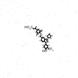 CC(CC(=O)O)c1cc(F)c(OCc2ccc3c(-c4ccc(O)c(C(F)(F)F)c4)nn(C4CCCC4)c3c2)c(F)c1